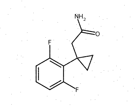 NC(=O)CC1(c2c(F)cccc2F)CC1